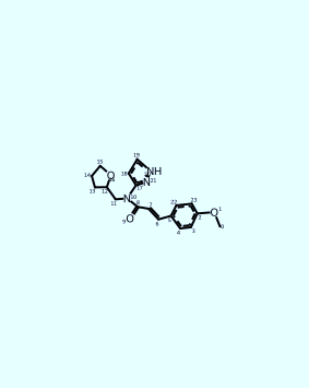 COc1ccc(/C=C/C(=O)N(CC2CCCO2)c2cc[nH]n2)cc1